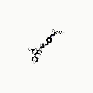 COC(=O)/C=C/c1ccc(CNCCn2cnc3c(N4CCOCC4)nc(Cl)nc32)cc1